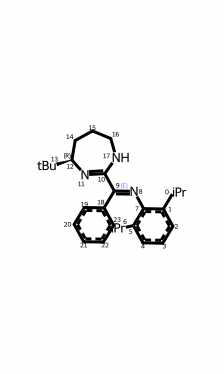 CC(C)c1cccc(C(C)C)c1/N=C(/C1=N[C@@H](C(C)(C)C)CCCN1)c1ccccc1